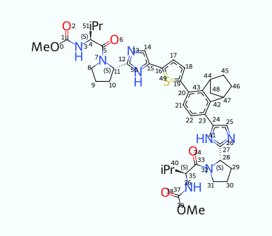 COC(=O)N[C@H](C(=O)N1CCC[C@H]1c1ncc(-c2ccc(-c3ccc(-c4cnc([C@@H]5CCCN5C(=O)[C@@H](NC(=O)OC)C(C)C)[nH]4)c4c3C3CCC4C3)s2)[nH]1)C(C)C